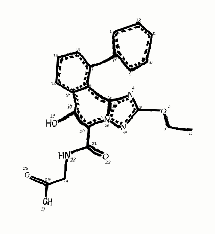 CCOc1nc2c3c(-c4ccccc4)cccc3c(O)c(C(=O)NCC(=O)O)n2n1